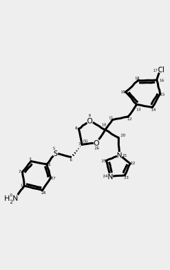 Nc1ccc(SC[C@@H]2COC(CCc3ccc(Cl)cc3)(Cn3ccnc3)O2)cc1